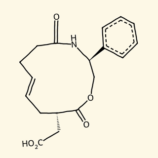 O=C(O)C[C@@H]1C/C=C/CCC(=O)N[C@@H](c2ccccc2)COC1=O